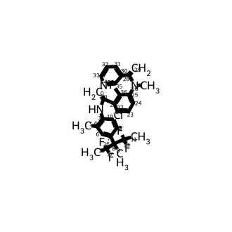 C=C(Nc1c(C)cc(C(C)(C(C)(F)F)C(C)(F)F)cc1Cl)c1cccc(N(C)C(=C)c2cccnc2)c1F